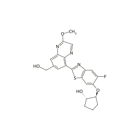 COc1cnc2c(-c3nc4cc(F)c(O[C@H]5CCC[C@@H]5O)cc4s3)cc(CO)cc2n1